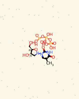 Cc1cn(N2C[C@H](O)[C@@H](CO)O2)c(=O)[nH]c1=O.O=P(O)(O)OP(=O)(O)OP(=O)(O)O